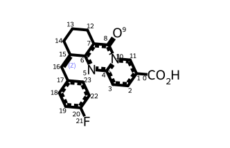 O=C(O)c1ccc2nc3c(c(=O)n2c1)CCC/C3=C/c1ccc(F)cc1